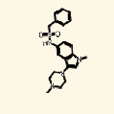 CN1CCN(c2cn(C)c3ccc(NS(=O)(=O)Cc4ccccc4)cc23)CC1